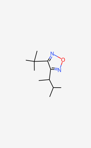 CC(C)C(C)c1nonc1C(C)(C)C